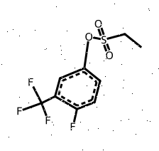 CCS(=O)(=O)Oc1ccc(F)c(C(F)(F)F)c1